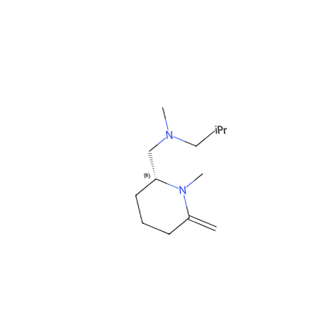 C=C1CCC[C@H](CN(C)CC(C)C)N1C